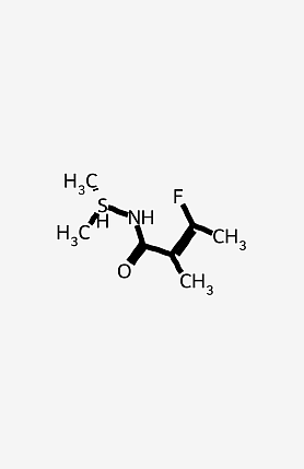 C/C(F)=C(\C)C(=O)N[SH](C)C